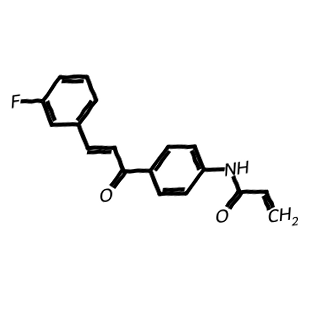 C=CC(=O)Nc1ccc(C(=O)C=Cc2cccc(F)c2)cc1